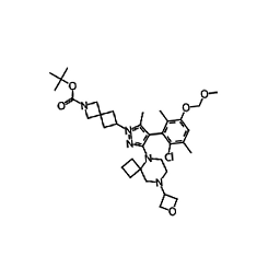 COCOc1cc(C)c(Cl)c(-c2c(N3CCN(C4COC4)CC34CCC4)nn(C3CC4(C3)CN(C(=O)OC(C)(C)C)C4)c2C)c1C